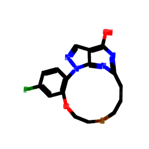 Oc1nc2nc3c1cnn3-c1ccc(F)cc1OCCSCCC2